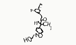 CC(NC(=O)C=Cc1cc(F)cc(F)c1)c1ccc2c(c1)CCCN2CCO